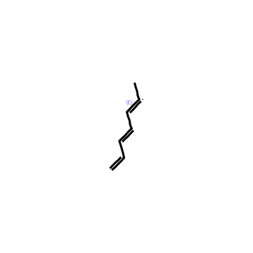 C=CC=C/C=[C]/C